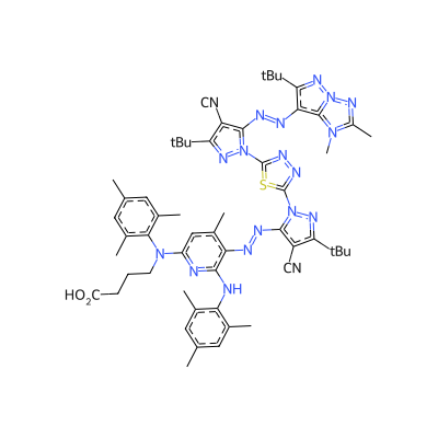 [C-]#[N+]c1c(C(C)(C)C)nn(-c2nnc(-n3nc(C(C)(C)C)c(C#N)c3N=Nc3c(C)cc(N(CCCC(=O)O)c4c(C)cc(C)cc4C)nc3Nc3c(C)cc(C)cc3C)s2)c1N=Nc1c(C(C)(C)C)nn2nc(C)n(C)c12